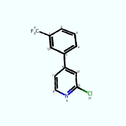 FC(F)(F)c1cccc(-c2ccnc(Cl)c2)c1